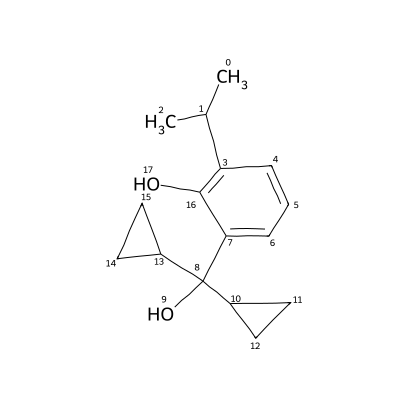 CC(C)c1cccc(C(O)(C2CC2)C2CC2)c1O